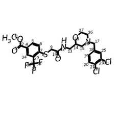 COC(=O)c1ccc(SCC(=O)NCC2CN(Cc3ccc(Cl)c(Cl)c3)CCO2)c(C(F)(F)F)c1